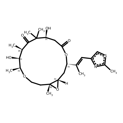 CC(=Cc1csc(C)n1)[C@@H]1C[C@@H]2O[C@]2(C)CCO[C@@H](C)[C@@H](O)[C@@H](C)C(=O)C(C)(C)[C@@H](O)CC(=O)O1